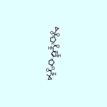 CC1(NC(=O)O[C@@H]2CC[C@H](c3cc(NC(=O)[C@@H]4CCN(S(=O)(=O)C5CC5)C4)n[nH]3)C2)CC1